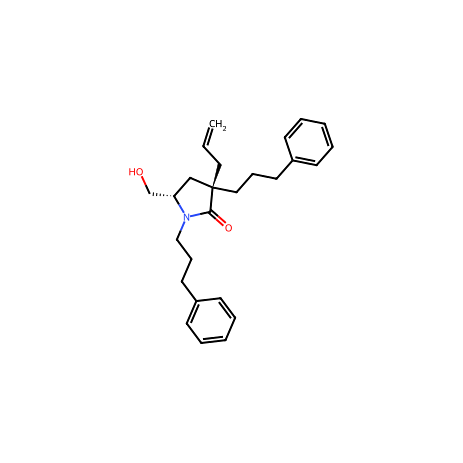 C=CC[C@]1(CCCc2ccccc2)C[C@@H](CO)N(CCCc2ccccc2)C1=O